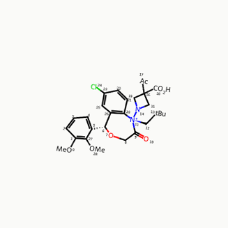 COc1cccc([C@H]2OCC(=O)[N@@+](CC(C)(C)C)(N3CC(C(C)=O)(C(=O)O)C3)c3ccc(Cl)cc32)c1OC